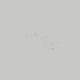 CONC(=O)c1c(O)cccc1C=CC(=O)N1CCC(c2cccc(CN)c2)CC1